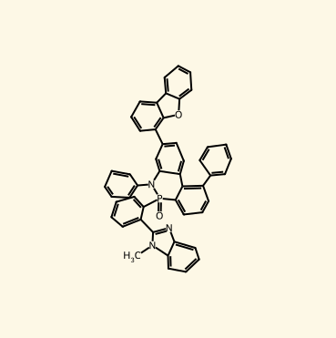 Cn1c(-c2ccccc2P2(=O)c3cccc(-c4ccccc4)c3-c3ccc(-c4cccc5c4oc4ccccc45)cc3N2c2ccccc2)nc2ccccc21